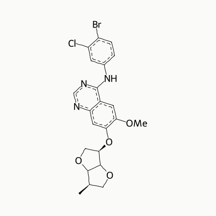 COc1cc2c(Nc3ccc(Br)c(Cl)c3)ncnc2cc1O[C@@H]1COC2C1OC[C@H]2C